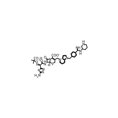 CC(C)(O/N=C(\C(=O)N[C@@H]1C(=O)N2C(C(=O)[O-])=C(C[n+]3cccc4c3ccn4Cc3ccc(C(=N)NC4CCCNC4)cc3)CS[C@H]12)c1nsc(N)n1)C(=O)O